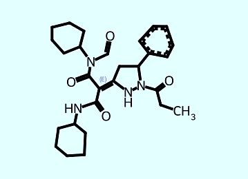 CCC(=O)N1N/C(=C(\C(=O)NC2CCCCC2)C(=O)N(C=O)C2CCCCC2)CC1c1ccccc1